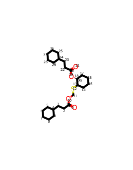 O=C(CCC1CCCCC1)OCSC1CCCC[C@H]1OC(=O)CCC1CCCCC1